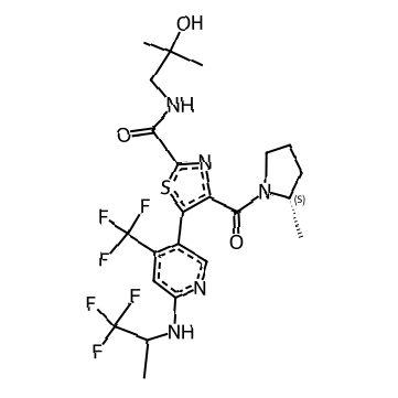 CC(Nc1cc(C(F)(F)F)c(-c2sc(C(=O)NCC(C)(C)O)nc2C(=O)N2CCC[C@@H]2C)cn1)C(F)(F)F